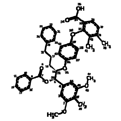 COc1cc([C@H](OC(=O)c2ccccc2)[C@H](CCCc2ccccc2)Oc2ccc(Oc3c(C(=O)O)ccc(C)c3C)cc2)cc(OC)c1C